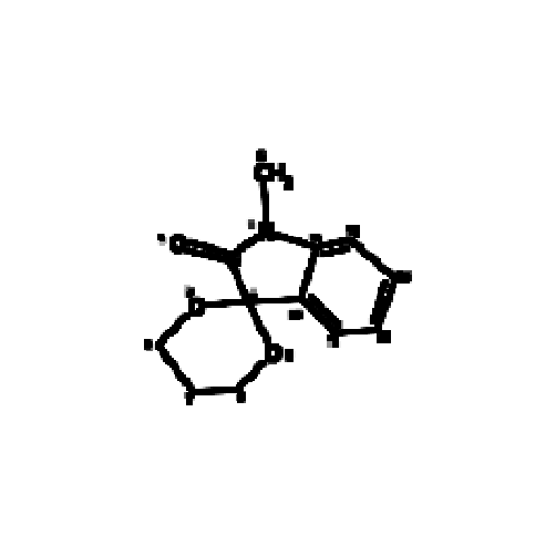 CN1C(=O)C2(OCCCO2)c2ccccc21